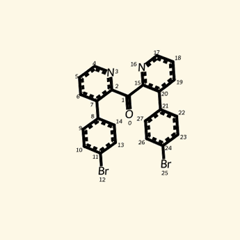 O=C(c1ncccc1-c1ccc(Br)cc1)c1ncccc1-c1ccc(Br)cc1